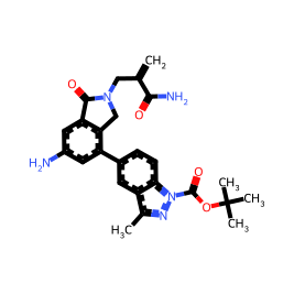 C=C(CN1Cc2c(cc(N)cc2-c2ccc3c(c2)c(C)nn3C(=O)OC(C)(C)C)C1=O)C(N)=O